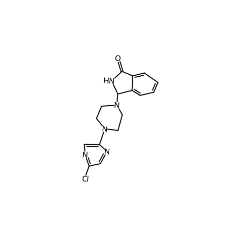 O=C1NC(N2CCN(c3cnc(Cl)cn3)CC2)c2ccccc21